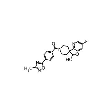 Cc1noc(-c2ccc(C(=O)N3CCC(C(=O)O)(c4ccc(F)cn4)CC3)cc2)n1